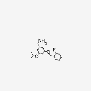 CC(C)Oc1cc(CN)cc(OCc2ccccc2F)c1